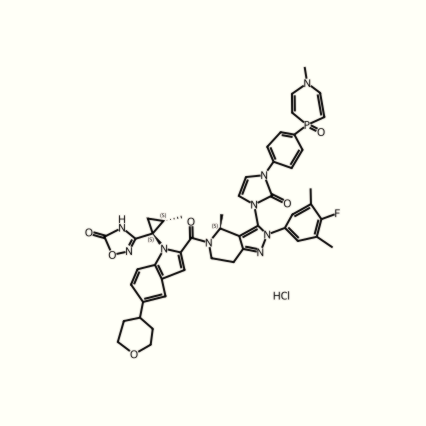 Cc1cc(-n2nc3c(c2-n2ccn(-c4ccc(P5(=O)C=CN(C)C=C5)cc4)c2=O)[C@H](C)N(C(=O)c2cc4cc(C5CCOCC5)ccc4n2[C@@]2(c4noc(=O)[nH]4)C[C@@H]2C)CC3)cc(C)c1F.Cl